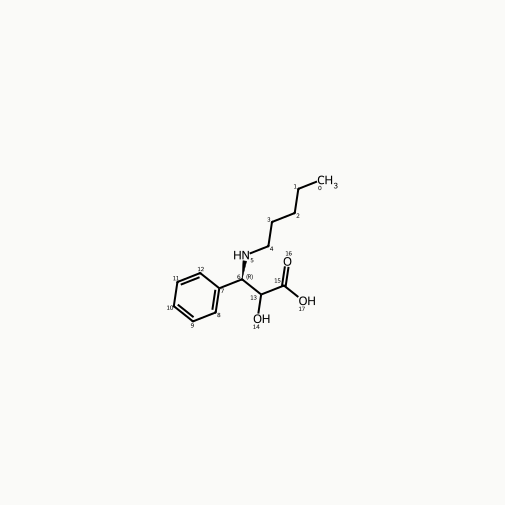 CCCCCN[C@H](c1ccccc1)C(O)C(=O)O